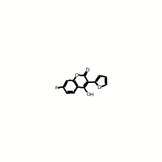 O=c1oc2cc(F)ccc2c(O)c1-c1ccco1